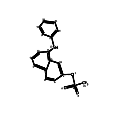 O=S(=O)(Oc1ccc2cccc(Nc3ccccc3)c2c1)C(F)(F)F